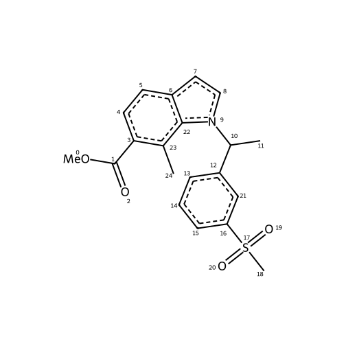 COC(=O)c1ccc2ccn(C(C)c3cccc(S(C)(=O)=O)c3)c2c1C